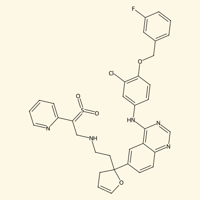 O=S(=O)=C(CNCCC1(c2ccc3ncnc(Nc4ccc(OCc5cccc(F)c5)c(Cl)c4)c3c2)CC=CO1)c1ccccn1